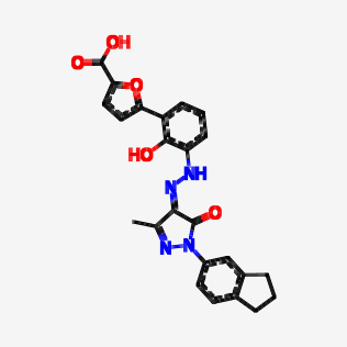 CC1=NN(c2ccc3c(c2)CCC3)C(=O)/C1=N\Nc1cccc(-c2ccc(C(=O)O)o2)c1O